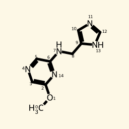 COc1cncc(NCc2cnc[nH]2)n1